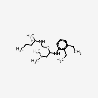 CCC[C@@H](C)NCOC(CN(C)C)Nc1cccc(CC)c1CC